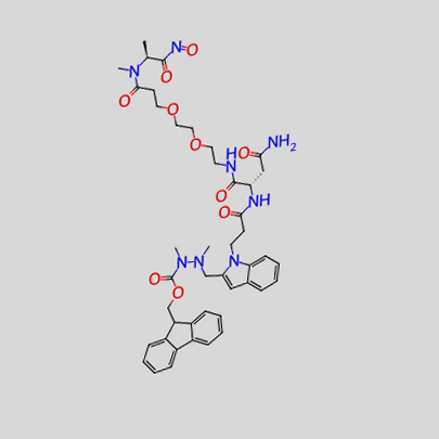 C[C@@H](C(=O)N=O)N(C)C(=O)CCOCCOCCNC(=O)[C@H](CC(N)=O)NC(=O)CCn1c(CN(C)N(C)C(=O)OCC2c3ccccc3-c3ccccc32)cc2ccccc21